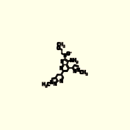 COCC[S@+]([O-])c1sc2nc(-c3cnc4nn(C)cc4c3)cc(-c3ccn(C)n3)c2c1N